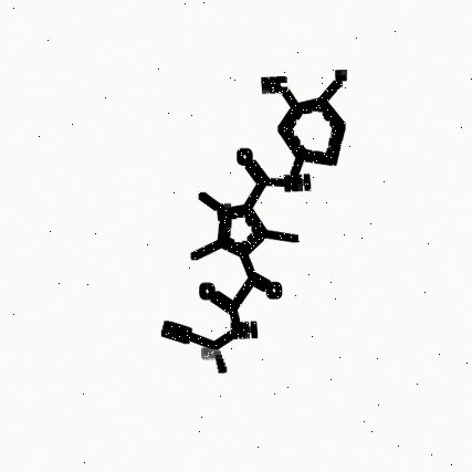 C#C[C@@H](C)NC(=O)C(=O)c1c(C)c(C(=O)Nc2ccc(F)c(C#N)c2)n(C)c1C